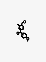 COC1CCN(C(=O)c2ccc(C=O)c(C)c2)CC1